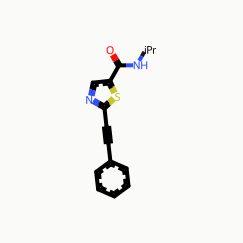 CC(C)NC(=O)c1cnc(C#Cc2ccccc2)s1